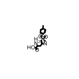 Cc1ccc(S(=O)(=O)n2cnc(C[C@H](N)C(=O)O)c2)cc1